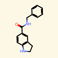 O=C(NCc1ccccc1)c1ccc2c(c1)CCN2